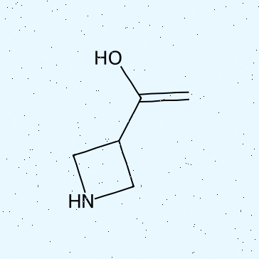 C=C(O)C1CNC1